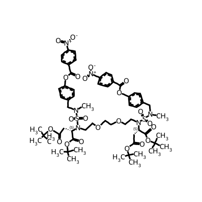 CN(Cc1ccc(OC(=O)c2ccc([N+](=O)[O-])cc2)cc1)S(=O)(=O)N(CCOCCOCCN([C@@H](CC(=O)OC(C)(C)C)C(=O)OC(C)(C)C)S(=O)(=O)N(C)Cc1ccc(OC(=O)c2ccc([N+](=O)[O-])cc2)cc1)[C@@H](CC(=O)OC(C)(C)C)C(=O)OC(C)(C)C